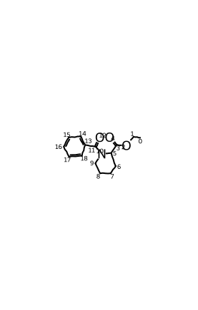 CCOC(=O)C1CCCCN1C(=O)c1ccccc1